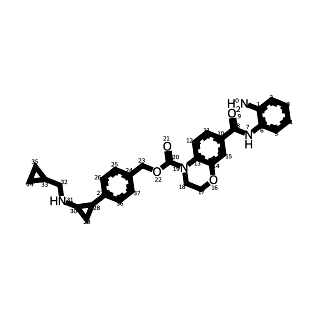 Nc1ccccc1NC(=O)c1ccc2c(c1)OCCN2C(=O)OCc1ccc(C2CC2NCC2CC2)cc1